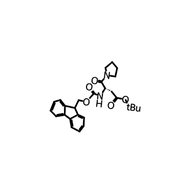 CC(C)(C)OC(=O)C[C@H](NC(=O)OCC1c2ccccc2-c2ccccc21)C(=O)N1CCCC1